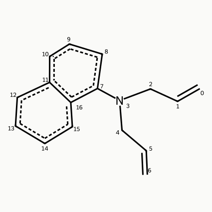 C=CCN(CC=C)c1cc[c]c2ccccc12